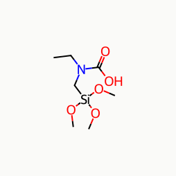 CCN(C[Si](OC)(OC)OC)C(=O)O